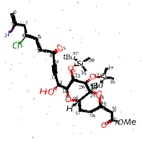 C=C(I)C[C@H](Cl)CCC(=O)C#C[C@H](O)C1O[C@H]2CCC(CC(=O)OC)O[C@@H]2C(O[Si](C)(C)C(C)(C)C)C1O[Si](C)(C)C(C)(C)C